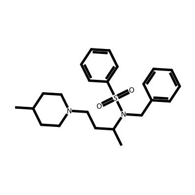 CC1CCN(CCC(C)N(Cc2ccccc2)S(=O)(=O)c2ccccc2)CC1